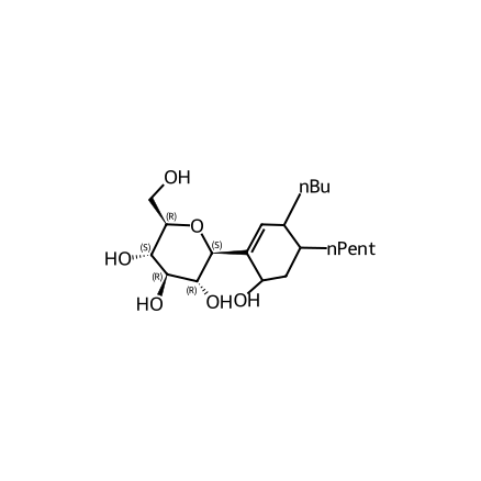 CCCCCC1CC(O)C([C@@H]2O[C@H](CO)[C@@H](O)[C@H](O)[C@H]2O)=CC1CCCC